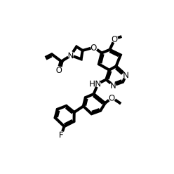 C=CC(=O)N1CC(Oc2cc3c(Nc4cc(-c5cccc(F)c5)ccc4OC)ncnc3cc2OC)C1